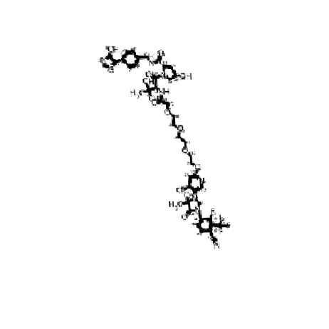 Cc1ncsc1-c1ccc(CNC(=O)[C@@H]2C[C@@H](O)CN2C(=O)[C@@H](NC(=O)COCCOCCOCCOc2cc(Cl)c(N3CN(c4ccc(C#N)c(C(F)(F)F)c4F)C(=O)C3(C)C)cn2)C(C)(C)C)cc1